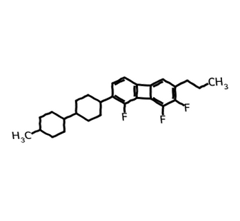 CCCc1cc2c(c(F)c1F)-c1c-2ccc(C2CCC(C3CCC(C)CC3)CC2)c1F